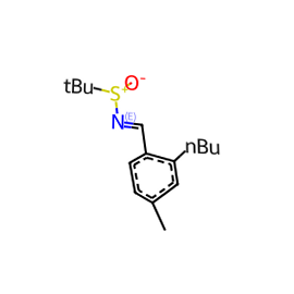 CCCCc1cc(C)ccc1/C=N/[S+]([O-])C(C)(C)C